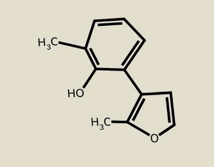 Cc1cccc(-c2ccoc2C)c1O